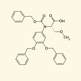 COC[C@@H](C(=O)O)N(C(=O)OCc1ccccc1)c1ccc(OCc2ccccc2)c(OCc2ccccc2)c1